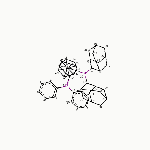 c1ccc(P(c2ccccc2)[C]23[CH]4[CH]5[CH]6[C]2(P(C2C7CC8CC(C7)CC2C8)C2C7CC8CC(C7)CC2C8)[Fe]54632789[CH]3[CH]2[CH]7[CH]8[CH]39)cc1